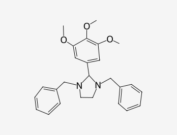 COc1cc(C2N(Cc3ccccc3)CCN2Cc2ccccc2)cc(OC)c1OC